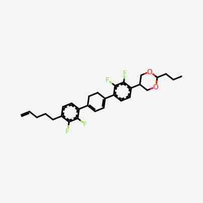 C=CCCCc1ccc(C2=CC=C(c3ccc(C4COC(CCC)OC4)c(F)c3F)CC2)c(F)c1F